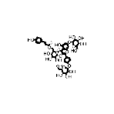 O=C(/C=C/c1ccc(O)cc1)OCC1O[C@@H](Oc2c(-c3ccc(O[C@@H]4OC(CO)[C@@H](O)C(O)C4O)cc3)oc3cc(O[C@@H]4OC(CO)[C@@H](O)C(O)C4O)cc(O)c3c2=O)C(O)C(O)[C@@H]1O